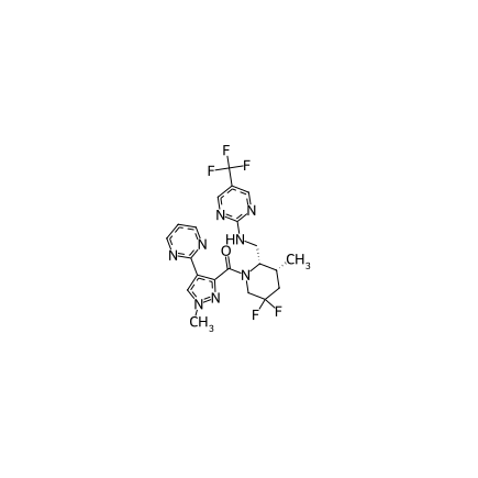 C[C@@H]1CC(F)(F)CN(C(=O)c2nn(C)cc2-c2ncccn2)[C@@H]1CNc1ncc(C(F)(F)F)cn1